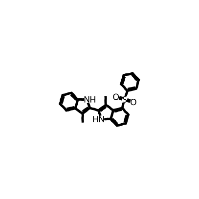 Cc1c(-c2[nH]c3cccc(S(=O)(=O)c4ccccc4)c3c2C)[nH]c2ccccc12